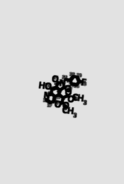 COC(=O)C(C(=O)OC)c1c2c(c(O)c3ncccc13)C(=O)N(Cc1ccc(F)cc1)C2=O